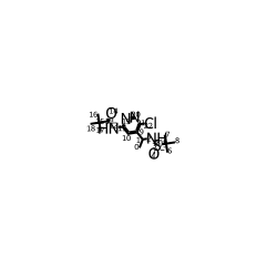 CC(N[S@+]([O-])C(C)(C)C)c1cc(NC(=O)C(C)(C)C)nnc1Cl